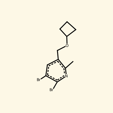 Cc1nc(Br)c(Br)cc1COC1CCC1